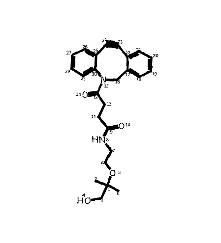 CC(C)(CO)OCCNC(=O)CCC(=O)N1Cc2ccccc2C#Cc2ccccc21